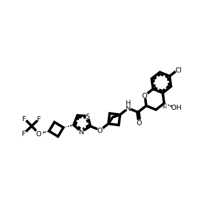 O=C(NC12CC(Oc3nc([C@H]4C[C@@H](OC(F)(F)F)C4)cs3)(C1)C2)C1C[C@@H](O)c2cc(Cl)ccc2O1